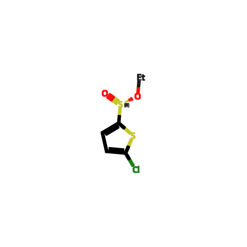 CCO[S@@](=O)c1ccc(Cl)s1